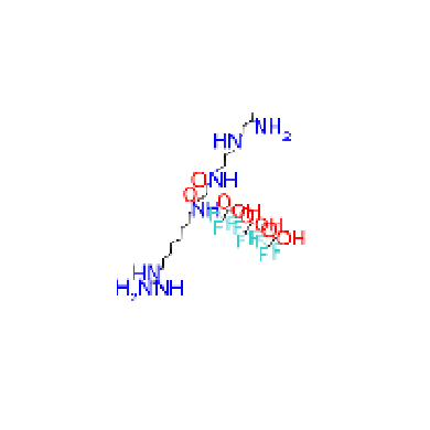 CC(N)CCNCCCCNC(=O)CC(=O)NCCCCCCCCNC(=N)N.O=C(O)C(F)(F)F.O=C(O)C(F)(F)F.O=C(O)C(F)(F)F